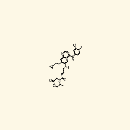 CC1COC(=O)CN1C(=O)C=CCNc1cc2c(Nc3ccc(F)c(Cl)c3)ncnc2cc1OCC1CC1